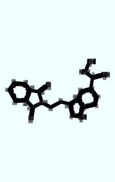 N=C(NO)c1ccc2[nH]cc(CCN3C(=O)c4ccccc4C3=O)c2c1